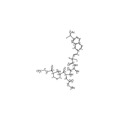 CC(=O)O[C@H](C)c1ccc2ccc(C=CC(C)(C)C(=O)N[C@H](C(=O)N[C@@H](CC(=O)OC(C)(C)C)C(=O)N3CCC[C@@H](C(=O)OCC(Cl)(Cl)Cl)N3)C(C)C)cc2n1